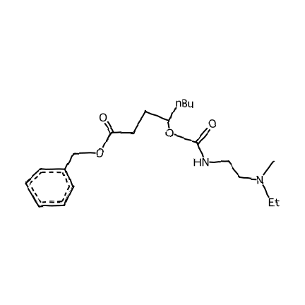 CCCCC(CCC(=O)OCc1ccccc1)OC(=O)NCCN(C)CC